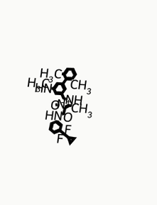 CNc1cc(-c2c(C)cccc2C)cc(-c2[nH]c(C)c(C(=O)Nc3cccc(C(F)(F)C4CC4)c3)[n+]2[O-])c1